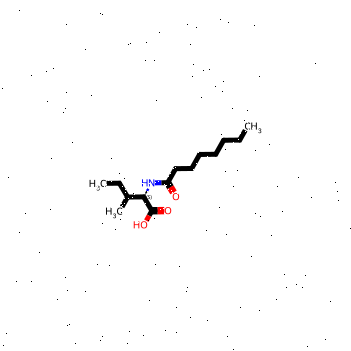 CCCCCCCC(=O)N[C@H](C(=O)O)C(C)CC